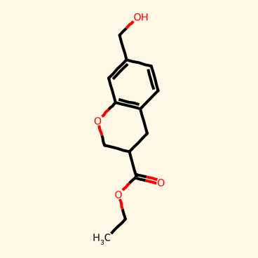 CCOC(=O)C1COc2cc(CO)ccc2C1